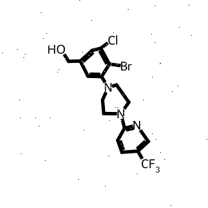 OCc1cc(Cl)c(Br)c(N2CCN(c3ccc(C(F)(F)F)cn3)CC2)c1